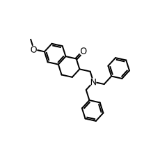 COc1ccc2c(c1)CCC(CN(Cc1ccccc1)Cc1ccccc1)C2=O